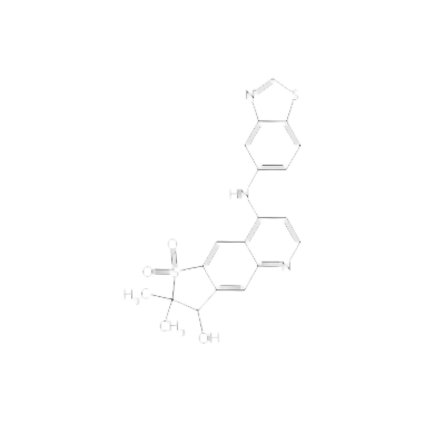 CC1(C)C(O)c2cc3nccc(Nc4ccc5scnc5c4)c3cc2S1(=O)=O